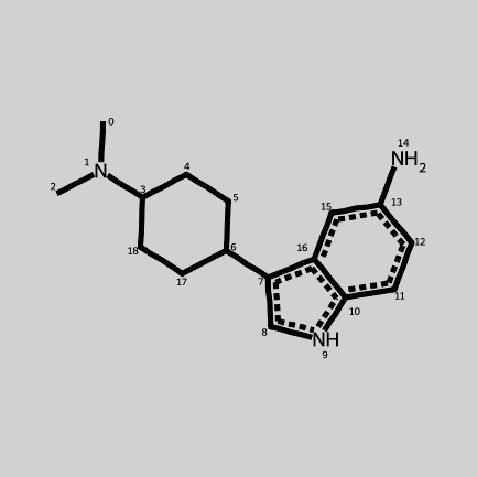 CN(C)C1CCC(c2c[nH]c3ccc(N)cc23)CC1